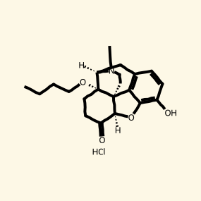 CCCCO[C@@]12CCC(=O)[C@@H]3Oc4c(O)ccc5c4[C@@]31CCN(C)[C@@H]2C5.Cl